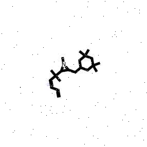 C=C/C=C\C(C)(C)C1C(CC2CC(C)(C)CC(C)(C)C2)N1C